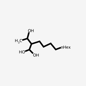 CCCCCCCCCCC(C(C)O)C(O)O